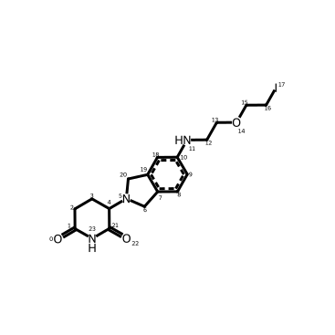 O=C1CCC(N2Cc3ccc(NCCOCCI)cc3C2)C(=O)N1